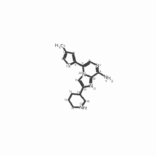 Cc1csc(-c2cnc(N)c3nc(C4CCCNC4)cn23)c1